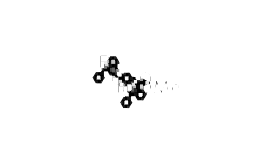 COC(=O)[C@H](Cc1ccc(OCCN(Cc2ccccc2)c2c(F)cccc2F)cc1)Nc1ccccc1C(=O)c1ccccc1